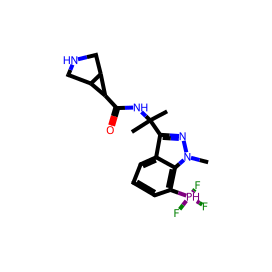 Cn1nc(C(C)(C)NC(=O)C2C3CNCC32)c2cccc([PH](F)(F)F)c21